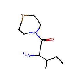 CCC(C)C(N)C(=O)N1CCSCC1